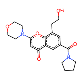 O=C(c1cc(CCO)c2oc(N3CCOCC3)cc(=O)c2c1)N1CCCC1